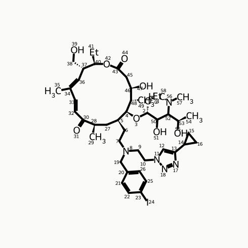 CCO[C@@H](O[C@H]1[C@@H](CCN(CCn2cc(C3CC3)nn2)Cc2ccc(I)cc2)C[C@@H](C)C(=O)/C=C/C(C)=C/[C@H](CO)[C@@H](CC)OC(=O)C[C@@H](O)[C@@H]1C)C(O)C([C@@H](C)O)N(C)C